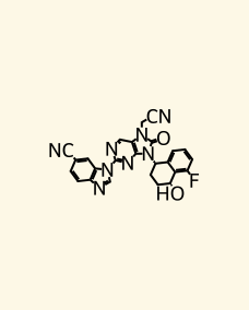 N#CCn1c(=O)n([C@@H]2CC[C@@H](O)c3c(F)cccc32)c2nc(-n3cnc4ccc(C#N)cc43)ncc21